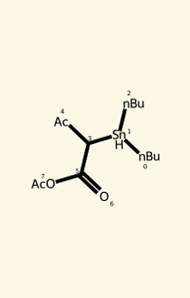 CCC[CH2][SnH]([CH2]CCC)[CH](C(C)=O)C(=O)OC(C)=O